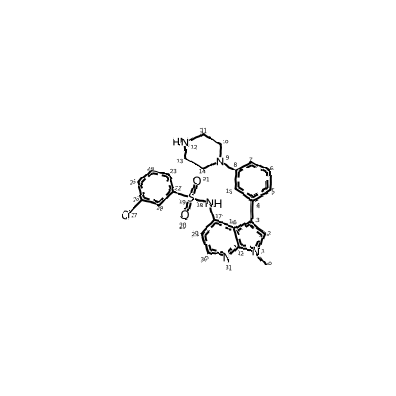 Cn1cc(-c2cccc(N3CCNCC3)c2)c2c(NS(=O)(=O)c3cccc(Cl)c3)ccnc21